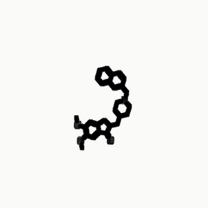 COc1cc2c(cc1OC)C(=O)C(CC1CCN(Cc3ccc4ccccc4c3)CC1)C2